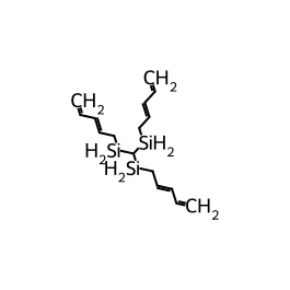 C=CC=CC[SiH2]C([SiH2]CC=CC=C)[SiH2]CC=CC=C